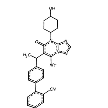 CCCc1c(C(C)c2ccc(-c3ccccc3C#N)cc2)c(=O)n(C2CCC(O)CC2)c2ncnn12